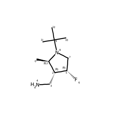 C[C@@H]1[C@@H](CN)[C@@H](F)CN1C(C)(C)C